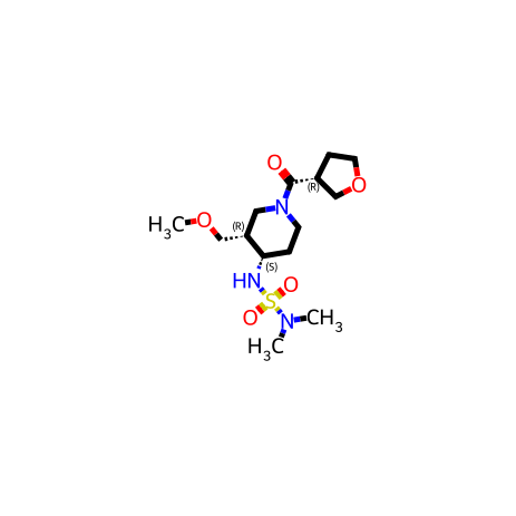 COC[C@@H]1CN(C(=O)[C@@H]2CCOC2)CC[C@@H]1NS(=O)(=O)N(C)C